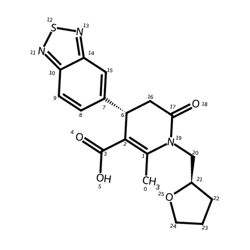 CC1=C(C(=O)O)[C@H](c2ccc3nsnc3c2)CC(=O)N1C[C@H]1CCCO1